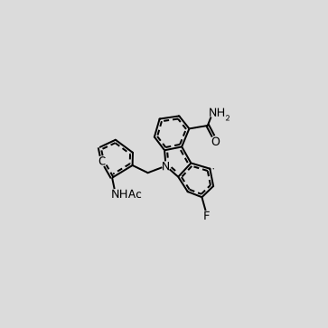 CC(=O)Nc1ccccc1Cn1c2cc(F)c[c]c2c2c(C(N)=O)cccc21